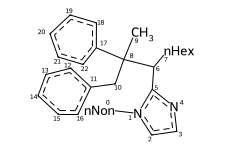 CCCCCCCCCn1ccnc1C(CCCCCC)C(C)(Cc1ccccc1)c1ccccc1